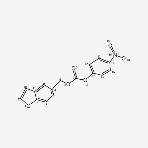 O=C(OCc1ccc2occc2c1)Oc1ccc([N+](=O)[O-])cc1